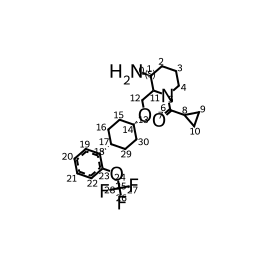 N[C@H]1CCCN(C(=O)C2CC2)C1CO[C@H]1CC[C@@H](c2ccccc2OC(F)(F)F)CC1